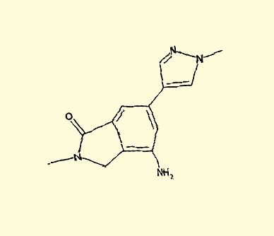 CN1Cc2c(N)cc(-c3cnn(C)c3)cc2C1=O